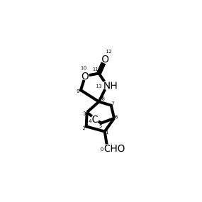 O=CC1CC2CCC1CC21COC(=O)N1